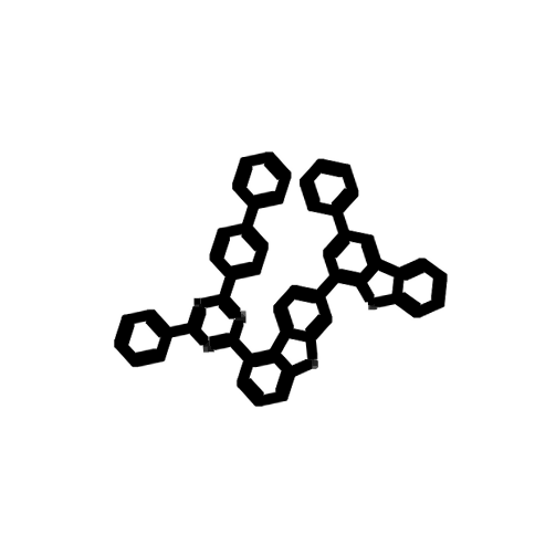 c1ccc(-c2ccc(-c3nc(-c4ccccc4)nc(-c4cccc5sc6cc(-c7cc(-c8ccccc8)cc8c7sc7ccccc78)ccc6c45)n3)cc2)cc1